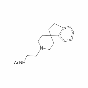 CC(=O)NCCN1CCC2(CCc3ccccc32)CC1